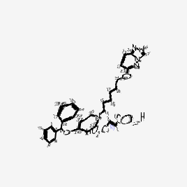 O=C(O)/C=C/C(=O)O.c1ccc(C(OC2CCN(CCCCCCOc3ccc4nncn4n3)CC2)c2ccccc2)cc1